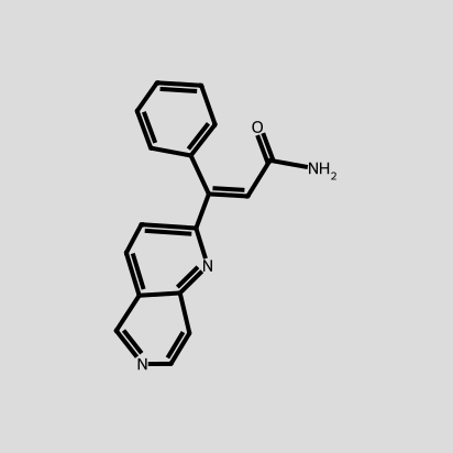 NC(=O)C=C(c1ccccc1)c1ccc2cnccc2n1